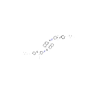 COc1ccc(C(=O)Nc2ccc(/C=C/C(=O)Oc3ccc4ccccc4c3-c3c(OC(=O)/C=C/c4ccc(NC(=O)c5ccc(OC)cc5)cc4)ccc4ccccc34)cc2)cc1